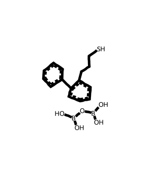 OB(O)OB(O)O.SCCCc1ccccc1-c1ccccc1